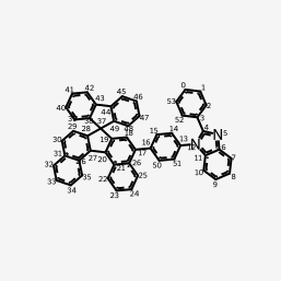 c1ccc(-c2nc3ccccc3n2-c2ccc(-c3cc4c(c5ccccc35)-c3c(ccc5ccccc35)C43c4ccccc4-c4ccccc43)cc2)cc1